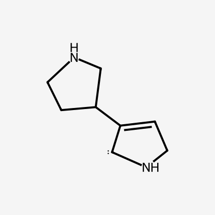 [C]1NCC=C1C1CCNC1